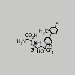 Cc1cc(F)ccc1-c1ccc(C(O)(CCS(=N)(=O)CC[C@H](N)C(=O)O)C(F)(F)F)nc1